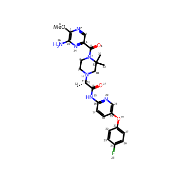 COc1ncc(C(=O)N2CCN([C@@H](C)C(=O)Nc3ccc(Oc4ccc(F)cc4)cn3)CC2(C)C)nc1N